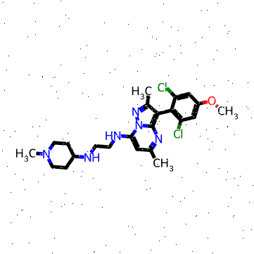 COc1cc(Cl)c(-c2c(C)nn3c(NCCNC4CCN(C)CC4)cc(C)nc23)c(Cl)c1